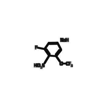 O=S(=O)(O)c1c(F)cccc1OC(F)(F)F.[NaH]